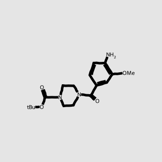 COc1cc(C(=O)N2CCN(C(=O)OC(C)(C)C)CC2)ccc1N